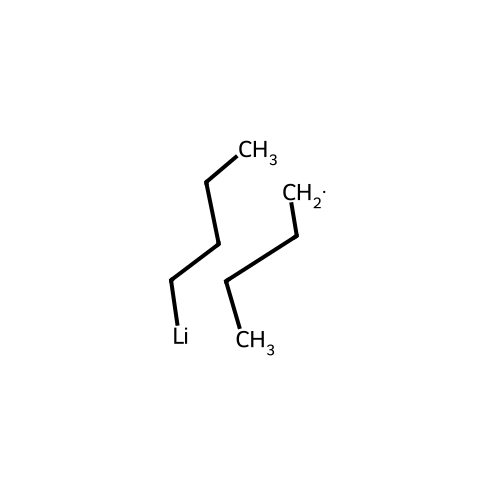 [CH2]CCC.[Li][CH2]CCC